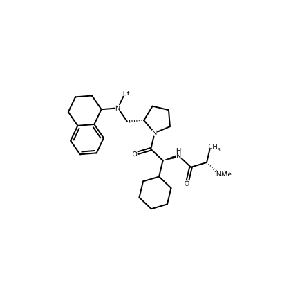 CCN(C[C@@H]1CCCN1C(=O)[C@@H](NC(=O)[C@H](C)NC)C1CCCCC1)C1CCCc2ccccc21